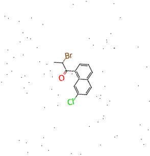 CC(Br)C(=O)c1cccc2ccc(Cl)cc12